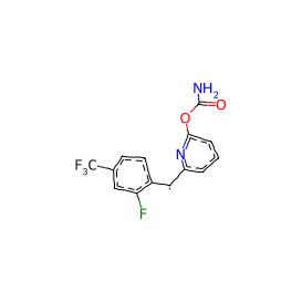 NC(=O)Oc1cccc([CH]c2ccc(C(F)(F)F)cc2F)n1